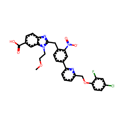 COCCn1c(Cc2ccc(-c3cccc(COc4ccc(Cl)cc4F)n3)cc2[N+](=O)[O-])nc2ccc(C(=O)O)cc21